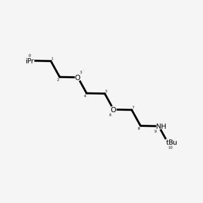 CC(C)CCOCCOCCNC(C)(C)C